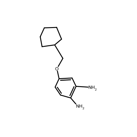 Nc1ccc(OCC2CCCCC2)cc1N